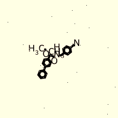 CCOC(C)(C(=O)NCc1ccc(C#N)cc1)c1ccc(-c2ccccc2)cc1